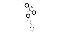 CN1CCN(CCC(=O)N(C)c2ccc(NC(=C3C(=O)Nc4cc(F)ccc43)c3ccccc3)cc2)CC1